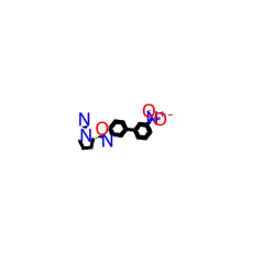 N#CN1CCC[C@H]1c1nc2cc(-c3cccc([N+](=O)[O-])c3)ccc2o1